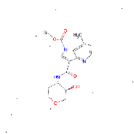 Cc1ccnc2c(C(=O)N[C@H]3CCOC[C@@H]3O)cn(C(=O)OC(C)(C)C)c12